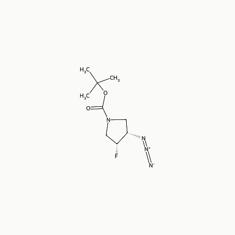 CC(C)(C)OC(=O)N1C[C@@H](F)[C@@H](N=[N+]=[N-])C1